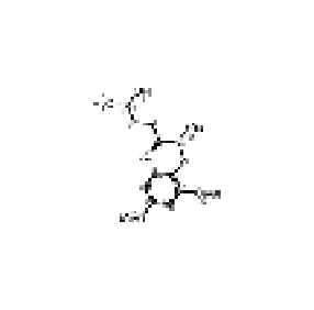 COc1ccc(CN(C(=O)CC[C@H](C)O)C(C)(C)C)c(OC)c1